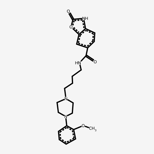 COc1ccccc1N1CCN(CCCCNC(=O)c2ccc3[nH]c(=O)oc3c2)CC1